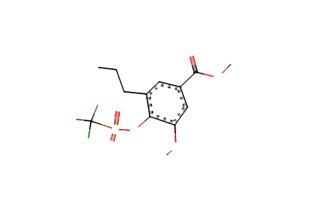 CCCc1cc(C(=O)OC)cc(OC)c1OS(=O)(=O)C(F)(F)F